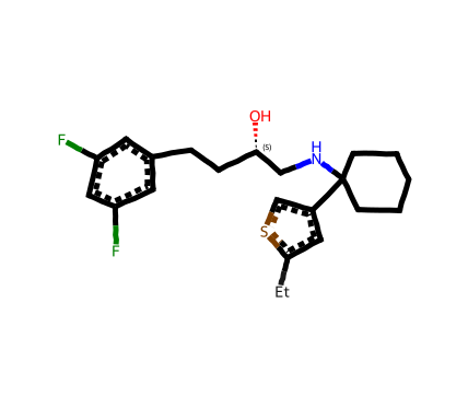 CCc1cc(C2(NC[C@@H](O)CCc3cc(F)cc(F)c3)CCCCC2)cs1